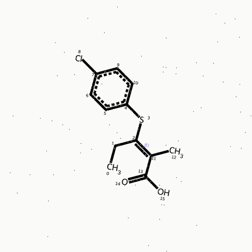 CC/C(Sc1ccc(Cl)cc1)=C(/C)C(=O)O